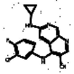 N#Cc1cnc2cnc(NC3CC3)cc2c1Nc1ccc(F)c(Cl)c1